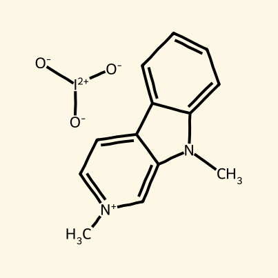 Cn1c2ccccc2c2cc[n+](C)cc21.[O-][I+2]([O-])[O-]